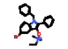 CC[N+](C)(C)Oc1c(-c2ccccc2)n(Cc2ccccc2)c2ccc(Br)cc12